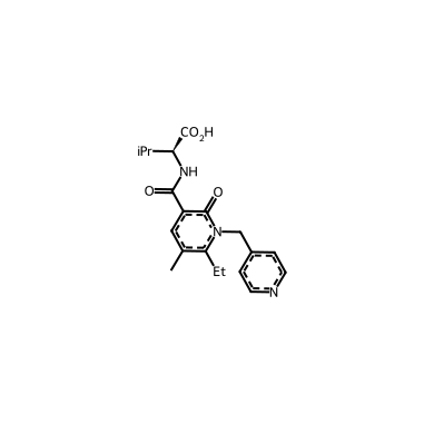 CCc1c(C)cc(C(=O)N[C@H](C(=O)O)C(C)C)c(=O)n1Cc1ccncc1